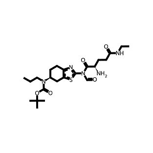 CCCN(C(=O)OC(C)(C)C)[C@H]1CCc2nc(N(C=O)C(=O)[C@@H](N)CCC(=O)NCC)sc2C1